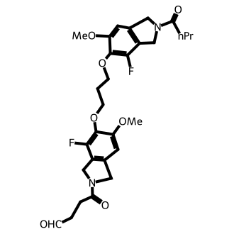 CCCC(=O)N1Cc2cc(OC)c(OCCCOc3c(OC)cc4c(c3F)CN(C(=O)CCC=O)C4)c(F)c2C1